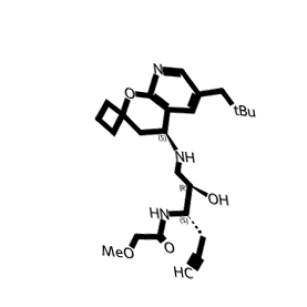 C#CC[C@H](NC(=O)COC)[C@H](O)CN[C@H]1CC2(CCC2)Oc2ncc(CC(C)(C)C)cc21